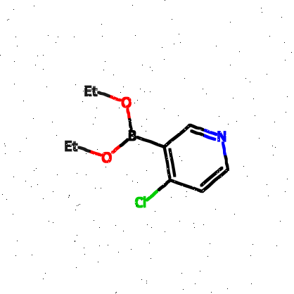 CCOB(OCC)c1cnccc1Cl